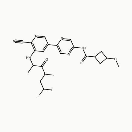 COC1CC(C(=O)Nc2cnc(-c3cnc(C#N)c(NC(C)C(=O)N(C)CC(F)F)c3)cn2)C1